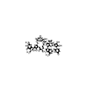 COCCN(C)C(=O)C[C@@H]1[C@@H](COP(=O)(O)OP(=O)(O)OP(=O)(O)OC[C@H]2O[C@@H](n3cnc4c(N)ncnc43)[C@H](OC)[C@@H]2P(=O)([O-])OC[C@H]2O[C@@H](n3ccc(=O)[nH]c3=O)[C@H](O)[C@@H]2O)OC(n2c[n+](C)c3c(=O)[nH]c(N)nc32)[C@@H]1O